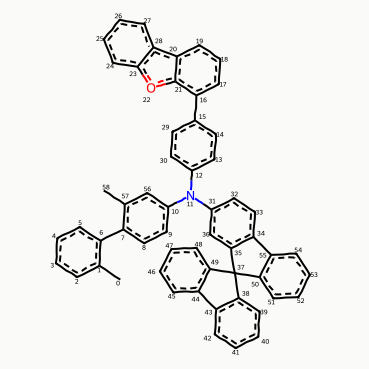 Cc1ccccc1-c1ccc(N(c2ccc(-c3cccc4c3oc3ccccc34)cc2)c2ccc3c(c2)C2(c4ccccc4-c4ccccc42)c2ccccc2-3)cc1C